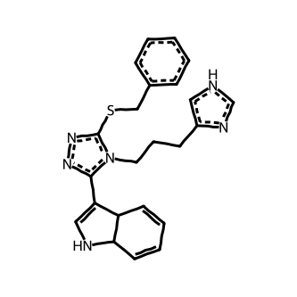 C1=CC2NC=C(c3nnc(SCc4ccccc4)n3CCCc3c[nH]cn3)C2C=C1